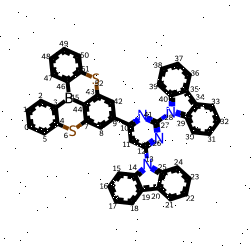 c1ccc2c(c1)Sc1cc(-c3cc(-n4c5ccccc5c5ccccc54)nc(-n4c5ccccc5c5ccccc54)n3)cc3c1B2c1ccccc1S3